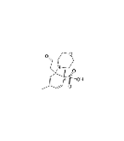 CC1=CC(CC=O)(N2CCOCC2)[C@](C)(S(=O)(=O)O)C=C1